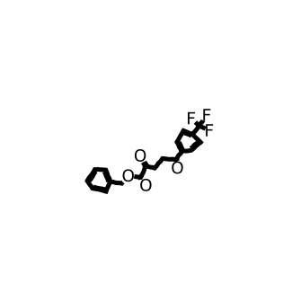 O=C(CCC(=O)c1ccc(C(F)(F)F)cc1)C(=O)OCc1ccccc1